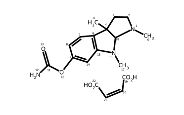 CN1CCC2(C)c3ccc(OC(N)=O)cc3N(C)C12.O=C(O)/C=C\C(=O)O